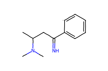 CC(CC(=N)c1[c]cccc1)N(C)C